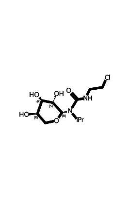 CC(C)N(C(=O)NCCCl)[C@@H]1OC[C@@H](O)[C@@H](O)[C@@H]1O